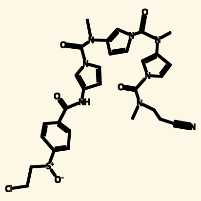 CN(CCC#N)C(=O)n1ccc(N(C)C(=O)n2ccc(N(C)C(=O)n3ccc(NC(=O)c4ccc([S+]([O-])CCCl)cc4)c3)c2)c1